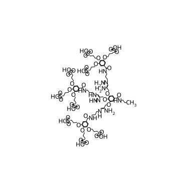 CCCNC(=O)c1cc(OC/C(N)=C/NCCCNC(=O)c2cc(OCCCS(=O)(=O)O)c(OCCCS(=O)(=O)O)c(OCCCS(=O)(=O)O)c2)c(OC/C(=C/NCCCNC(=O)c2cc(OCCCS(=O)(=O)O)c(OCCCS(=O)(=O)O)c(OCCCS(=O)(=O)O)c2)N=N)c(OC/C(N)=C/N(N)CCCNC(=O)c2cc(OCCCS(=O)(=O)O)c(OCCCS(=O)(=O)O)c(OCCCS(=O)(=O)O)c2)c1